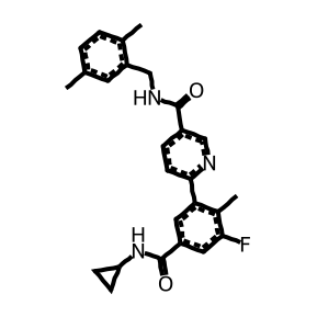 Cc1ccc(C)c(CNC(=O)c2ccc(-c3cc(C(=O)NC4CC4)cc(F)c3C)nc2)c1